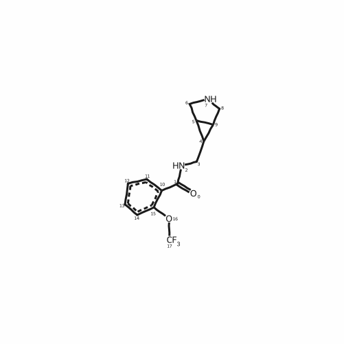 O=C(NCC1C2CNCC21)c1ccccc1OC(F)(F)F